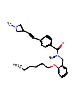 CC(C)N(Cc1ccccc1OCCCCCC(=O)O)C(=O)c1ccc(C#CC2CN(C)C2)cc1